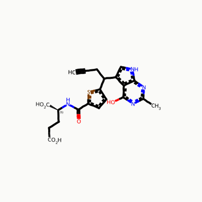 C#CCC(c1ccc(C(=O)N[C@@H](CCC(=O)O)C(=O)O)s1)c1c[nH]c2nc(C)nc(O)c12